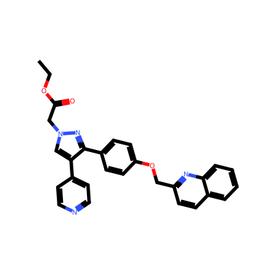 CCOC(=O)Cn1cc(-c2ccncc2)c(-c2ccc(OCc3ccc4ccccc4n3)cc2)n1